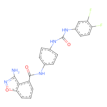 Nc1noc2cccc(C(=O)Nc3ccc(NC(=O)Nc4ccc(F)c(F)c4)cc3)c12